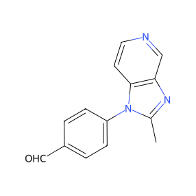 Cc1nc2cnccc2n1-c1ccc(C=O)cc1